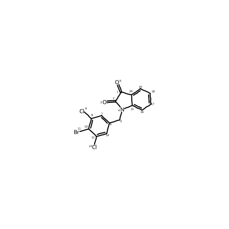 O=C1C(=O)N(Cc2cc(Cl)c(Br)c(Cl)c2)c2ccccc21